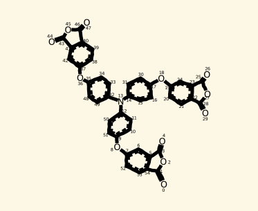 O=C1OC(=O)c2cc(Oc3ccc(N(c4ccc(Oc5ccc6c(c5)C(=O)OC6=O)cc4)c4ccc(Oc5ccc6c(c5)C(=O)OC6=O)cc4)cc3)ccc21